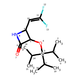 CC(C)[Si](OC1C(=O)NC1C=C(F)F)(C(C)C)C(C)C